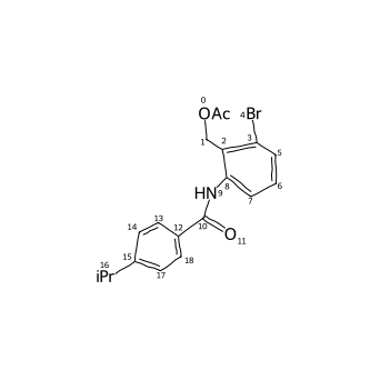 CC(=O)OCc1c(Br)cccc1NC(=O)c1ccc(C(C)C)cc1